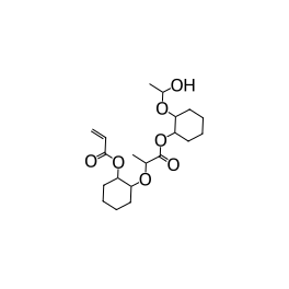 C=CC(=O)OC1CCCCC1OC(C)C(=O)OC1CCCCC1OC(C)O